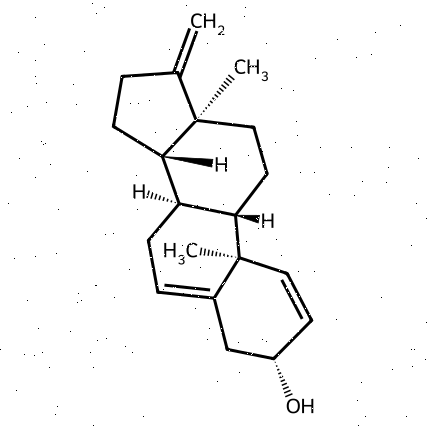 C=C1CC[C@H]2[C@@H]3CC=C4C[C@@H](O)C=C[C@]4(C)[C@H]3CC[C@]12C